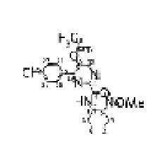 CON=C1CCCC[C@@H]1NC(=O)c1ncc(O[C@@H](C)C(F)(F)F)c(-c2ccc(Cl)cc2)n1